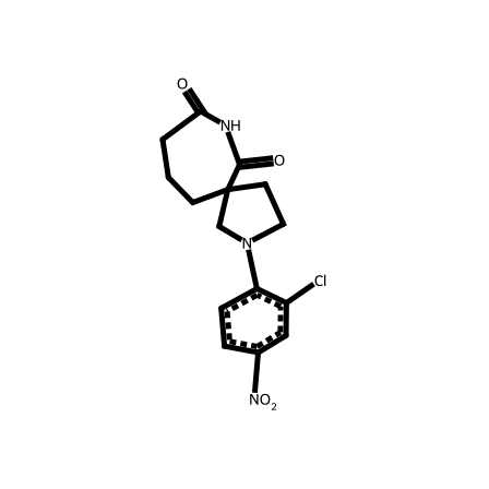 O=C1CCCC2(CCN(c3ccc([N+](=O)[O-])cc3Cl)C2)C(=O)N1